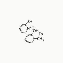 Cc1ccccc1O.[O-][n+]1ccccc1S.[Zn]